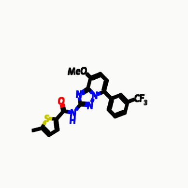 COc1ccc(-c2cccc(C(F)(F)F)c2)n2nc(NC(=O)c3ccc(C)s3)nc12